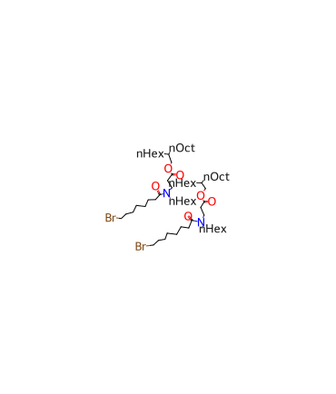 CCCCCCCCC(CCCCCC)COC(=O)CCN(CCCCCC)C(=O)CCCCCCCBr.CCCCCCCCC(CCCCCC)COC(=O)CCN(CCCCCC)C(=O)CCCCCCCBr